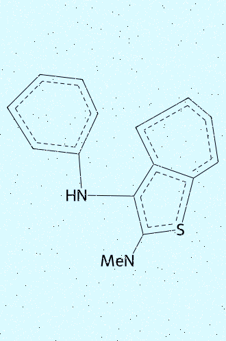 CNc1sc2ccccc2c1Nc1ccccc1